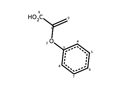 C=C(Oc1ccccc1)C(=O)O